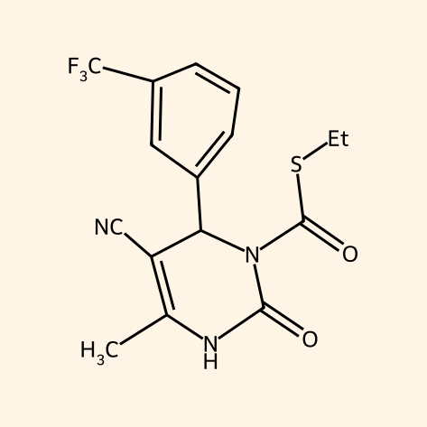 CCSC(=O)N1C(=O)NC(C)=C(C#N)C1c1cccc(C(F)(F)F)c1